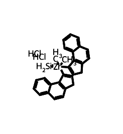 Cl.Cl.[CH3][Zr]([CH3])(=[SiH2])([C]1=CCc2ccc3ccccc3c21)[C]1=CCc2ccc3ccccc3c21